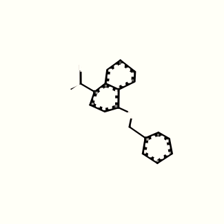 O=C[C@@H](Br)c1ccc(OCc2ccccc2)c2ccccc12